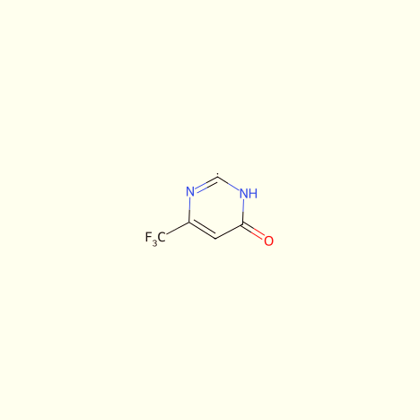 O=c1cc(C(F)(F)F)n[c][nH]1